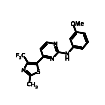 COc1cccc(Nc2nccc(-c3sc(C)nc3C(F)(F)F)n2)c1